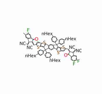 [C-]#[N+]/C(C#N)=C1\C(=C\c2cc3sc4c(c3s2)C(c2ccc(CCCCCC)cc2)(c2ccc(CCCCCC)cc2)c2cc3c(cc2-4)C(c2ccc(CCCCCC)cc2)(c2ccc(CCCCCC)cc2)c2c-3sc3cc(/C=C4\C(=O)c5cc(F)c(F)cc5\C4=C(\C#N)[N+]#[C-])sc23)C(=O)c2cc(F)c(C)cc21